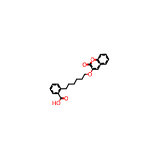 O=C(O)c1ccccc1CCCCCCOc1cc2ccccc2oc1=O